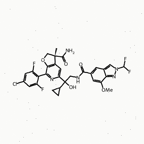 COc1cc(C(=O)NCC(O)(c2cc3c(c(-c4c(F)cc(Cl)cc4F)n2)OC[C@]3(C)C(N)=O)C2CC2)cc2cn(C(F)F)nc12